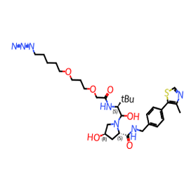 Cc1ncsc1-c1ccc(CNC(=O)[C@@H]2C[C@@H](O)CN2C(O)[C@@H](NC(=O)COCCCOCCCCCN=[N+]=[N-])C(C)(C)C)cc1